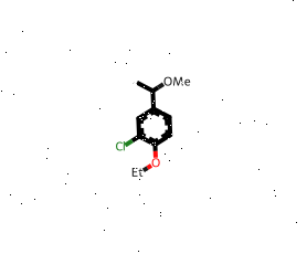 [CH2]C(OC)c1ccc(OCC)c(Cl)c1